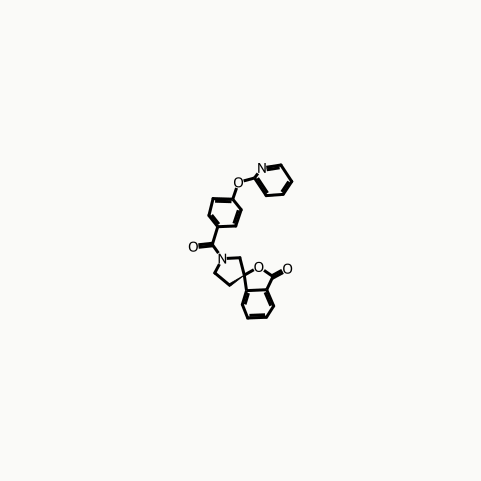 O=C1O[C@]2(CCN(C(=O)c3ccc(Oc4ccccn4)cc3)C2)c2ccccc21